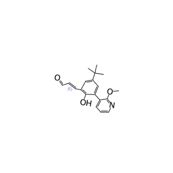 COc1ncccc1-c1cc(C(C)(C)C)cc(/C=C/C=O)c1O